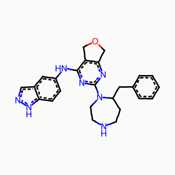 c1ccc(CC2CCNCCN2c2nc3c(c(Nc4ccc5[nH]ncc5c4)n2)COC3)cc1